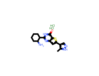 Cc1[nH]ncc1-c1cc2nc(C3CCCCC3N)[nH]c(=O)c2s1.Cl.Cl